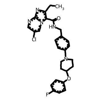 CCc1nc2ncc(Cl)cn2c1C(=O)NCc1ccc(N2CCC(Oc3ccc(F)cc3)CC2)cc1